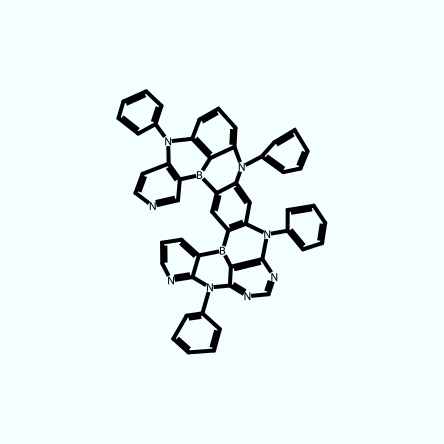 c1ccc(N2c3ccncc3B3c4cc5c(cc4N(c4ccccc4)c4cccc2c43)N(c2ccccc2)c2ncnc3c2B5c2cccnc2N3c2ccccc2)cc1